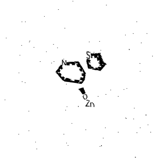 C=O.[Zn].c1ccncc1.c1ccsc1